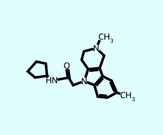 Cc1ccc2c(c1)c1c(n2CC(=O)NC2CCCC2)CCN(C)C1